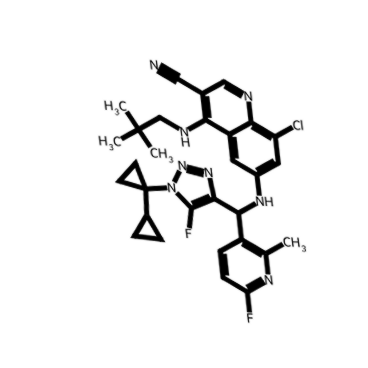 Cc1nc(F)ccc1C(Nc1cc(Cl)c2ncc(C#N)c(NCC(C)(C)C)c2c1)c1nnn(C2(C3CC3)CC2)c1F